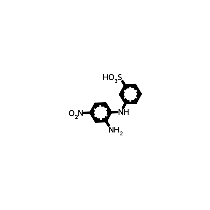 Nc1cc([N+](=O)[O-])ccc1Nc1cccc(S(=O)(=O)O)c1